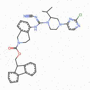 CC(C)C1CN(c2ccnc(Cl)n2)CCN1C(=NC#N)Nc1cccc2c1CCN(C(=O)OCC1c3ccccc3-c3ccccc31)C2